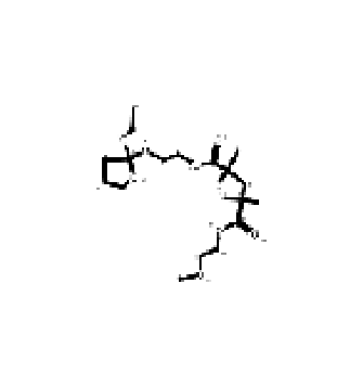 CCOC1(OCCOC(=O)C(C)(C)CC(C)(C)C(=O)OCCOC)CCCO1